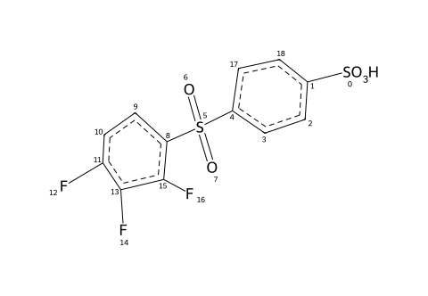 O=S(=O)(O)c1ccc(S(=O)(=O)c2ccc(F)c(F)c2F)cc1